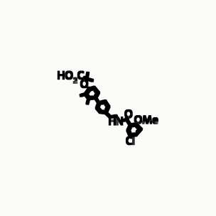 COc1ccc(Cl)cc1C(=O)NCCc1ccc(-c2ccc(OC(C)(C)C(=O)O)c(C)c2C)cc1